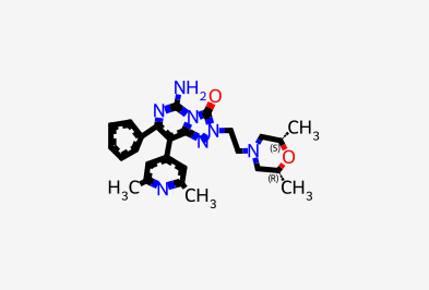 Cc1cc(-c2c(-c3ccccc3)nc(N)n3c(=O)n(CCN4C[C@@H](C)O[C@@H](C)C4)nc23)cc(C)n1